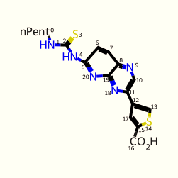 CCCCCNC(=S)Nc1ccc2ncc(-c3csc(C(=O)O)c3)nc2n1